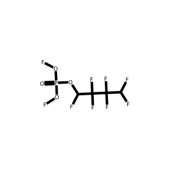 O=P(OF)(OF)OC(F)C(F)(F)C(F)(F)C(F)F